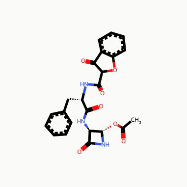 CC(=O)O[C@@H]1NC(=O)[C@H]1NC(=O)[C@H](Cc1ccccc1)NC(=O)C1Oc2ccccc2C1=O